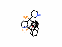 CC(C)(C)C(P)(C12CC3CC(CC(C3)C1)C2)[C]12[CH]3[CH]4[CH]5[C]1(C(P)(C1CCCNC1)C1CCCNC1)[Fe]45321678[CH]2[CH]1[CH]6[CH]7[CH]28